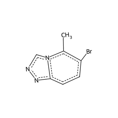 Cc1c(Br)ccc2nncn12